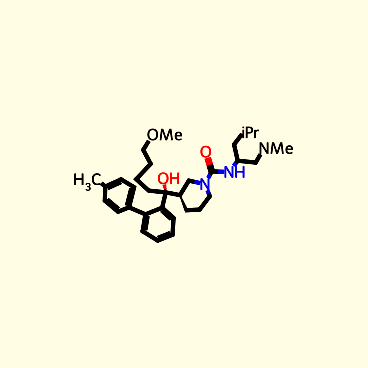 CNCC(CC(C)C)NC(=O)N1CCC[C@@H]([C@@](O)(CCCCOC)c2ccccc2-c2ccc(C)cc2)C1